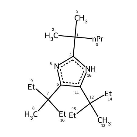 CCCC(C)(C)c1nc(C(C)(CC)CC)c(C(C)(CC)CC)[nH]1